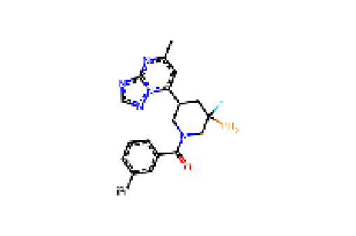 Cc1cc(C2CN(C(=O)c3cccc(C(C)C)c3)CC(F)(P)C2)n2ncnc2n1